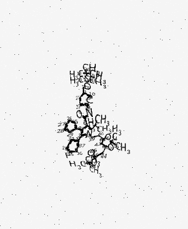 CC(C)c1c(C(=O)Nc2ccc(CO[Si](C)(C)C(C)(C)C)cc2)c(-c2ccccc2)c(-c2ccc(F)cc2)n1CC[C@@H]1C[C@H](CC(=O)OC(C)(C)C)OC(C)(C)O1